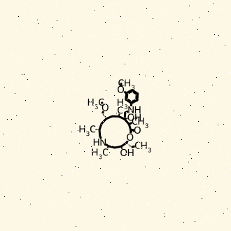 CC[C@H]1OC(=O)C(C)[C@@](O)(CNc2cccc(OC)c2)[C@H](C)C[C@@H](COC)C[C@@H](C)CN[C@H](C)C[C@@H]1O